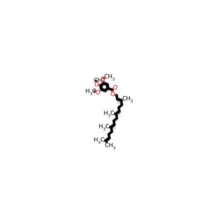 COc1cc(C(=O)OC/C=C(\C)CC/C=C(\C)CC/C=C(\C)CCC=C(C)C)cc(OC)c1OC